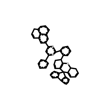 C1=CCC2OC3=C(C=CCC3c3ccccc3-c3nc(-c4ccccc4)cc(-c4cc5c6c(cccc6c4)CC=C5)n3)C3(C2=C1)c1ccccc1-c1ccccc13